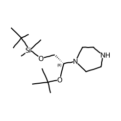 CC(C)(C)O[C@H](CO[Si](C)(C)C(C)(C)C)N1CCNCC1